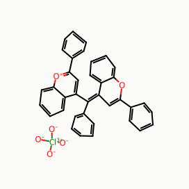 C1=C(c2ccccc2)Oc2ccccc2C1=C(c1ccccc1)c1cc(-c2ccccc2)[o+]c2ccccc12.[O-][Cl+3]([O-])([O-])[O-]